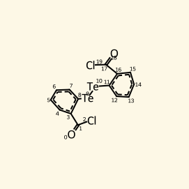 O=C(Cl)c1ccccc1[Te][Te]c1ccccc1C(=O)Cl